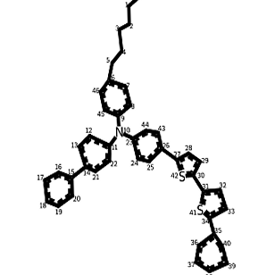 CCCCCCc1ccc(N(c2ccc(-c3ccccc3)cc2)c2ccc(-c3ccc(-c4ccc(-c5ccccc5)s4)s3)cc2)cc1